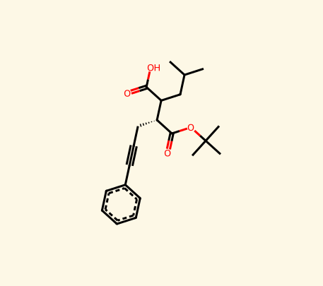 CC(C)CC(C(=O)O)[C@@H](CC#Cc1ccccc1)C(=O)OC(C)(C)C